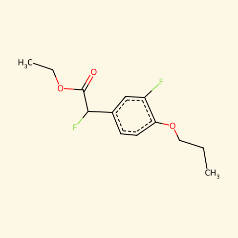 CCCOc1ccc(C(F)C(=O)OCC)cc1F